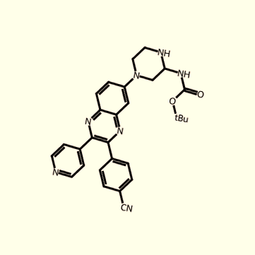 CC(C)(C)OC(=O)NC1CN(c2ccc3nc(-c4ccncc4)c(-c4ccc(C#N)cc4)nc3c2)CCN1